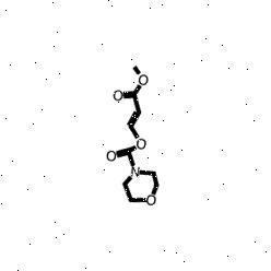 COC(=O)C=COC(=O)N1CCOCC1